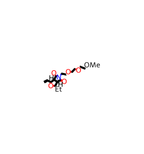 C=CC1OC(CC)[C@@H]2C(=O)N(CCOCCOCCOC)C(=O)[C@H]12